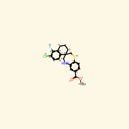 CC(C)(C)OC(=O)c1ccc2c(c1)NCC1(CCCc3c1ccc(Cl)c3F)CS2